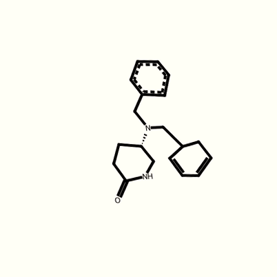 O=C1CC[C@H](N(Cc2ccccc2)CC2C=CC=CC2)CN1